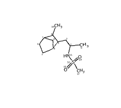 CC(CC1C2CCC(C2)C1C)NS(C)(=O)=O